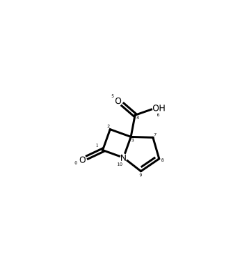 O=C1CC2(C(=O)O)CC=CN12